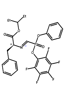 CCC(CC)OC(=O)[C@H](Cc1ccccc1)/N=C/P(=O)(Oc1ccccc1)Oc1c(F)c(F)c(F)c(F)c1F